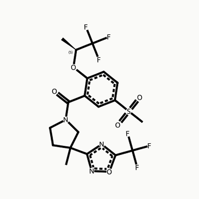 C[C@H](Oc1ccc(S(C)(=O)=O)cc1C(=O)N1CCC(C)(c2noc(C(F)(F)F)n2)C1)C(F)(F)F